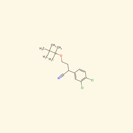 CC(C)(C)[Si](C)(C)OCCC(C#N)c1ccc(Cl)c(Cl)c1